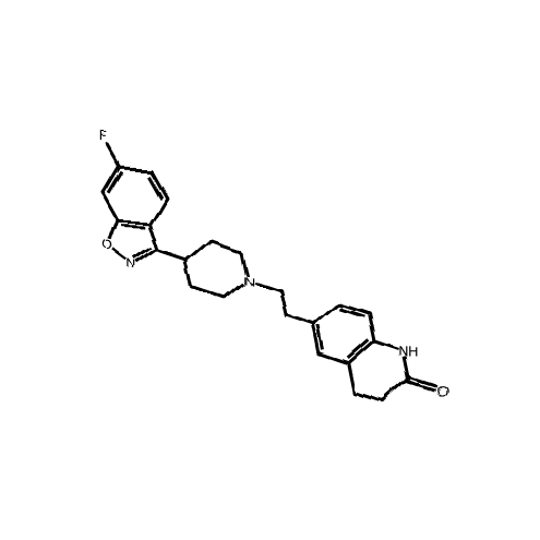 O=C1CCc2cc(CCN3CCC(c4noc5cc(F)ccc45)CC3)ccc2N1